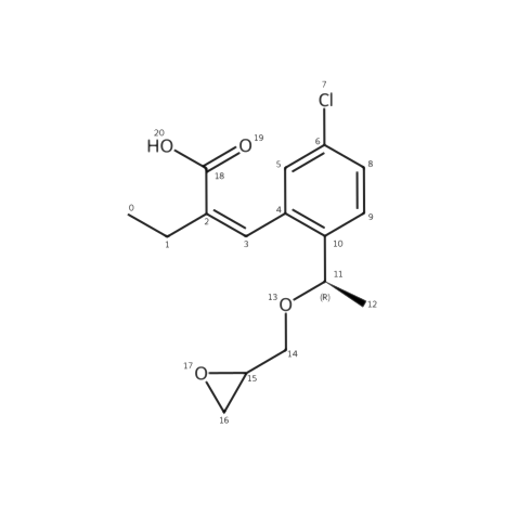 CCC(=Cc1cc(Cl)ccc1[C@@H](C)OCC1CO1)C(=O)O